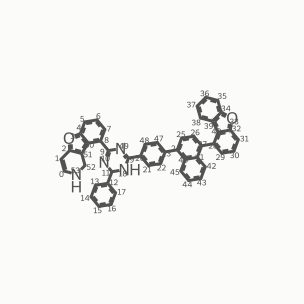 C1=Cc2oc3cccc(C4=NC(c5ccccc5)NC(c5ccc(-c6ccc(-c7cccc8oc9ccccc9c78)c7ccccc67)cc5)=N4)c3c2CN1